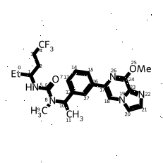 CCC(CCC(F)(F)F)NC(=O)N(C)C(C)c1cccc(-c2cn3ccnc3c(OC)n2)c1